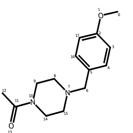 COc1ccc(CN2CCN(C(C)=O)CC2)cc1